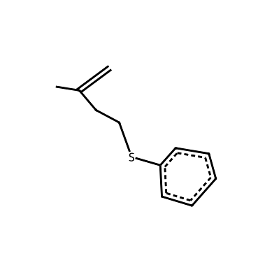 C=C(C)CCSc1ccccc1